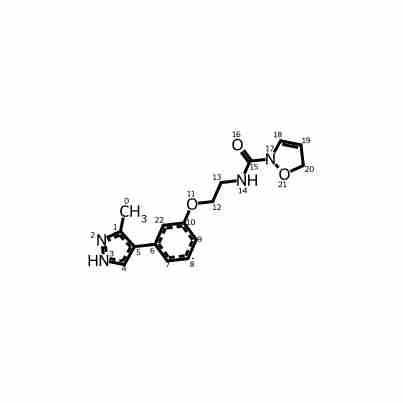 Cc1n[nH]cc1-c1c[c]cc(OCCNC(=O)N2C=CCO2)c1